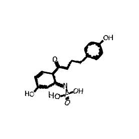 O=C(CCCc1ccc(O)cc1)C1C=CC(O)=CC1=NP(=O)(O)O